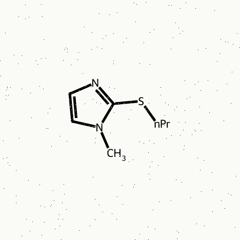 [CH2]CCSc1nccn1C